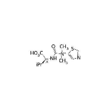 CC(C)[C@H](NC(=O)[N+](C)(C)c1cncs1)C(=O)O